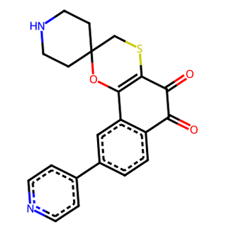 O=C1C(=O)c2ccc(-c3ccncc3)cc2C2=C1SCC1(CCNCC1)O2